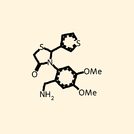 COc1cc(CN)c(N2C(=O)CSC2c2ccsc2)cc1OC